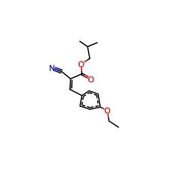 CCOc1ccc(C=C(C#N)C(=O)OCC(C)C)cc1